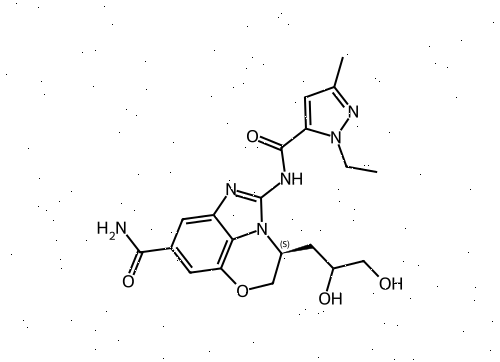 CCn1nc(C)cc1C(=O)Nc1nc2cc(C(N)=O)cc3c2n1[C@@H](CC(O)CO)CO3